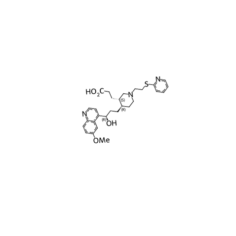 COc1ccc2nccc([C@H](O)CC[C@@H]3CCN(CCSc4ccccn4)C[C@H]3CCC(=O)O)c2c1